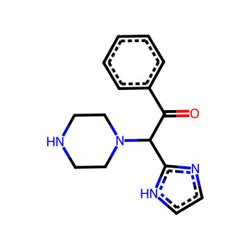 O=C(c1ccccc1)C(c1ncc[nH]1)N1CCNCC1